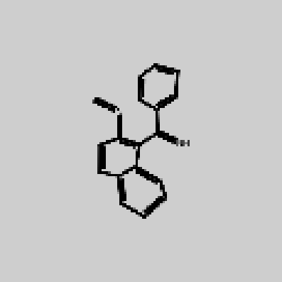 C=Nc1ccc2ccccc2c1C(=N)c1ccccc1